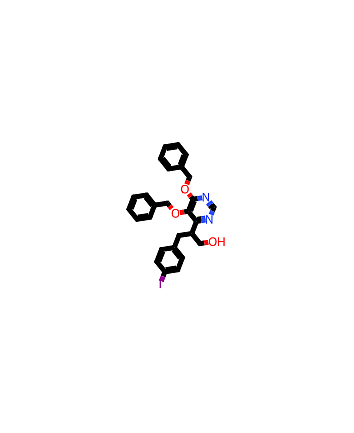 OCC(Cc1ccc(I)cc1)c1ncnc(OCc2ccccc2)c1OCc1ccccc1